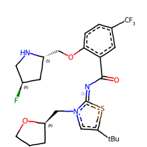 CC(C)(C)c1cn(C[C@H]2CCCO2)/c(=N/C(=O)c2cc(C(F)(F)F)ccc2OC[C@@H]2C[C@@H](F)CN2)s1